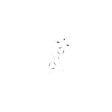 COc1ccc(C(N=O)C(=O)c2ccc(S(C#N)(C#N)C#N)cc2)cc1OC